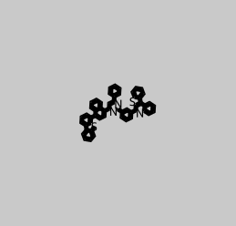 c1ccc(-c2cc(-c3ccc(-c4cccc5c4sc4ccccc45)c4ccccc34)nc(-c3cccc(-c4nc5ccccc5c5c4sc4ccccc45)c3)n2)cc1